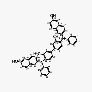 Cc1cc(-c2ccc(N(c3ccccc3)c3ccc4cc(O)ccc4c3)c(C)c2)ccc1N(c1ccccc1)c1ccc2cc(O)ccc2c1